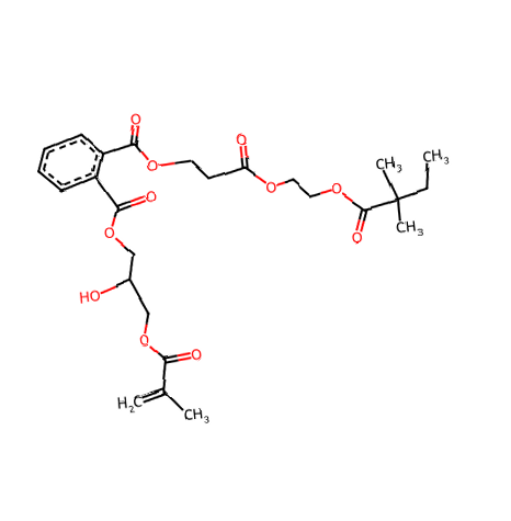 C=C(C)C(=O)OCC(O)COC(=O)c1ccccc1C(=O)OCCC(=O)OCCOC(=O)C(C)(C)CC